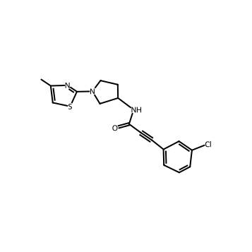 Cc1csc(N2CCC(NC(=O)C#Cc3cccc(Cl)c3)C2)n1